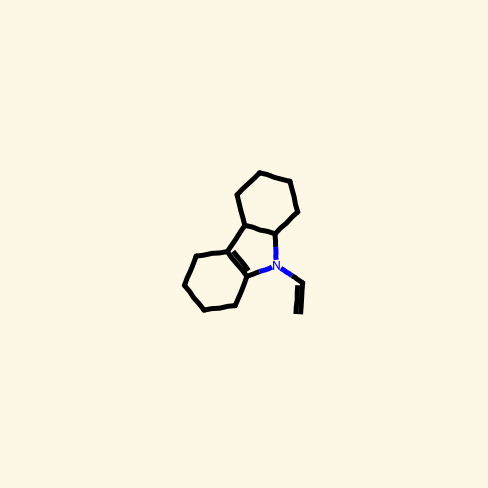 C=CN1C2=C(CCCC2)C2CCCCC21